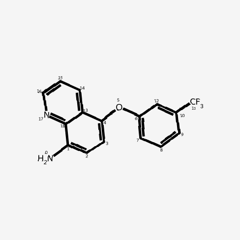 Nc1ccc(Oc2cccc(C(F)(F)F)c2)c2cccnc12